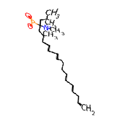 C=CCCCCCCCCCCCCCCC(CCC)(P(=O)=O)[N+](C)(C)C